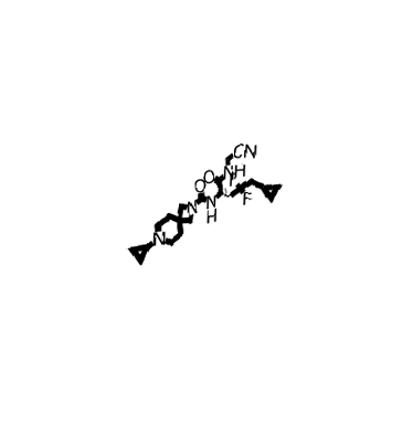 N#CCNC(=O)[C@H](CC(F)(F)CC1CC1)NC(=O)N1CC2(CCN(C3CC3)CC2)C1